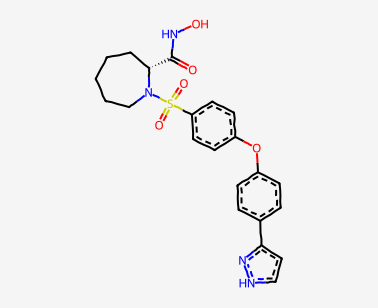 O=C(NO)[C@H]1CCCCCN1S(=O)(=O)c1ccc(Oc2ccc(-c3cc[nH]n3)cc2)cc1